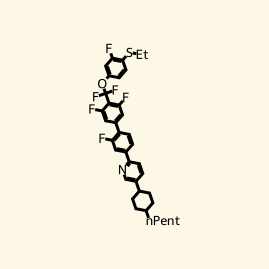 CCCCCC1CCC(c2ccc(-c3ccc(-c4cc(F)c(C(F)(F)Oc5ccc(SCC)c(F)c5)c(F)c4)c(F)c3)nc2)CC1